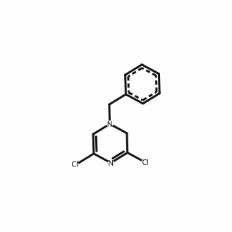 ClC1=CN(Cc2ccccc2)CC(Cl)=N1